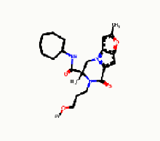 Cc1cc2c(cc3n2CC(C)(C(=O)NC2CCCCCC2)N(CCCOC(C)C)C3=O)o1